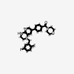 O=C(c1ccc(-c2cnc3c(c2)N(Cc2cc(F)ccc2F)CCN3)cc1)N1CCOCC1